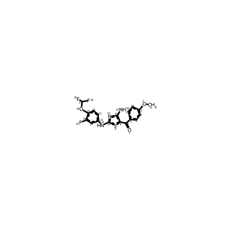 COc1ccc(C(=O)c2sc(Nc3ccc(OC(F)F)c(F)c3)nc2N)cc1